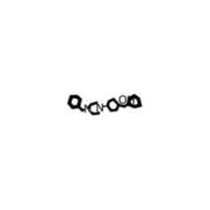 O[C@]1(Cc2ccccc2)CC[C@@H](N2CCN(Cc3ccccc3)CC2)CC1